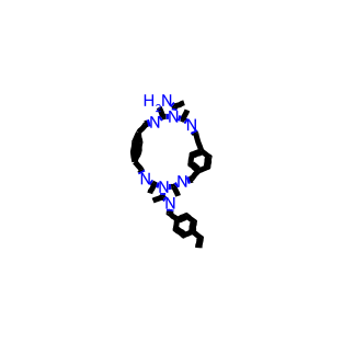 C=Cc1ccc(/C=N/C(C)N2C(C)/N=C/c3ccc(cc3)/C=N/C(C)N(C(C)N)C(C)/N=C/c3ccc(cc3)/C=N/C2C)cc1